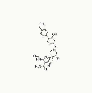 CCc1ccc(-c2ccc(CN3CCC(CC#N)(n4cc(C(N)=O)c(NC=O)n4)C(F)C3)cc2O)cc1